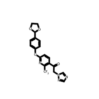 O=C(Cn1cncn1)c1ccc(Oc2ccc(C3OCCO3)cc2)nc1C(F)(F)F